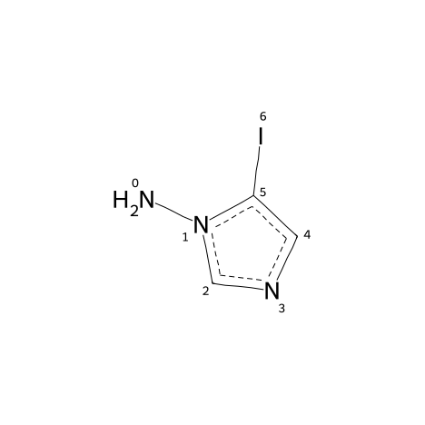 Nn1cncc1I